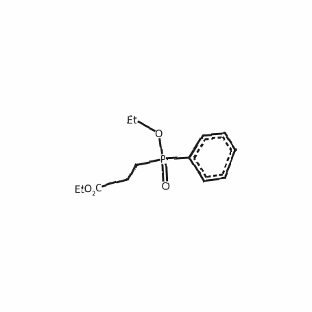 CCOC(=O)CCP(=O)(OCC)c1ccccc1